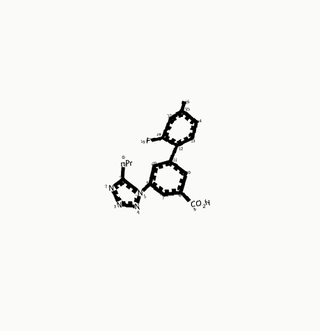 CCCc1nnnn1-c1cc(C(=O)O)cc(-c2ccc(C)cc2F)c1